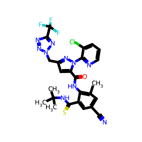 Cc1cc(C#N)cc(C(=S)NC(C)(C)C)c1NC(=O)c1cc(Cn2nnc(C(F)(F)F)n2)nn1-c1ncccc1Cl